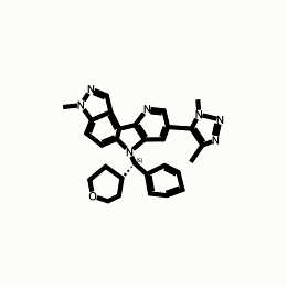 Cc1nnn(C)c1-c1cnc2c3c4cnn(C)c4ccc3n([C@H](c3ccccc3)C3CCOCC3)c2c1